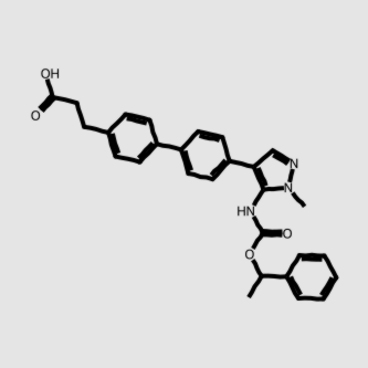 CC(OC(=O)Nc1c(-c2ccc(-c3ccc(CCC(=O)O)cc3)cc2)cnn1C)c1ccccc1